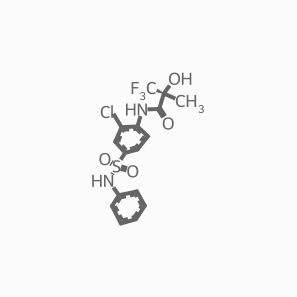 C[C@@](O)(C(=O)Nc1ccc(S(=O)(=O)Nc2ccccc2)cc1Cl)C(F)(F)F